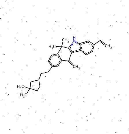 C=Cc1ccc2c3c([nH]c2c1)C(C)(C)c1ccc(CCC2CCC(C)(C)C2)cc1C3=C